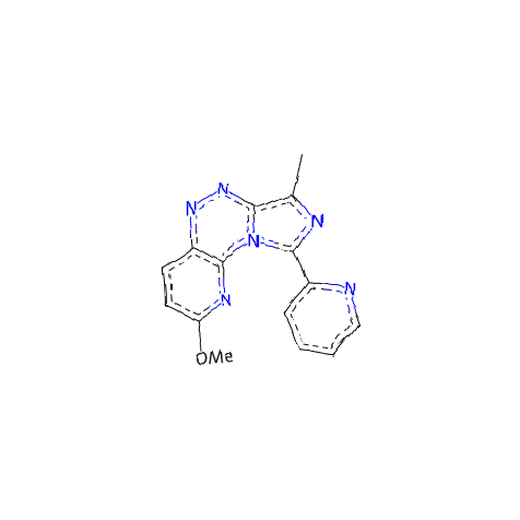 COc1ccc2nnc3c(C)nc(-c4ccccn4)n3c2n1